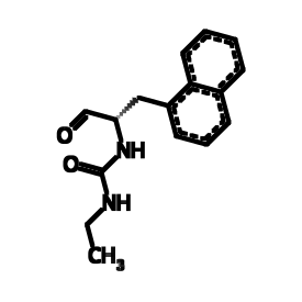 CCNC(=O)N[C@H](C=O)Cc1cccc2ccccc12